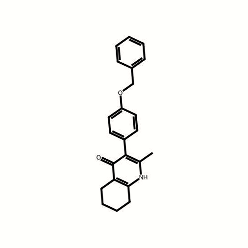 Cc1[nH]c2c(c(=O)c1-c1ccc(OCc3ccccc3)cc1)CCCC2